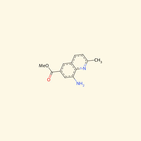 COC(=O)c1cc(N)c2nc(C)ccc2c1